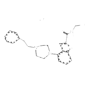 CCNC(=O)c1cc2c(N3CCN(CCc4ccccc4)CC3)cccc2s1.Cl